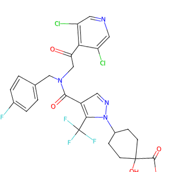 O=C(CN(Cc1ccc(F)cc1)C(=O)c1cnn(C2CCC(O)(C(=O)O)CC2)c1C(F)(F)F)c1c(Cl)cncc1Cl